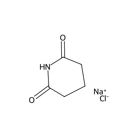 O=C1CCCC(=O)N1.[Cl-].[Na+]